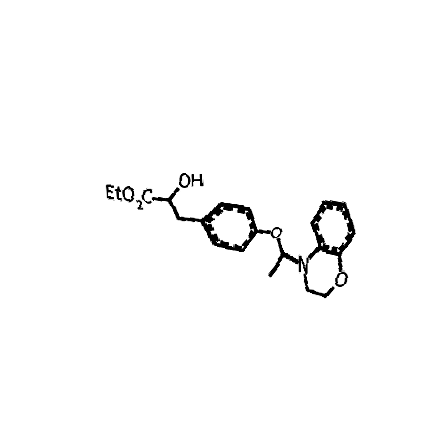 CCOC(=O)C(O)Cc1ccc(OC(C)N2CCOc3ccccc32)cc1